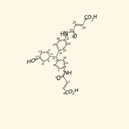 O=C(O)/C=C/C(=O)Nc1ccc(C(c2ccc(O)cc2)c2ccc(NC(=O)/C=C/C(=O)O)cc2)cc1